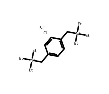 CC[N+](CC)(CC)Cc1ccc(C[N+](CC)(CC)CC)cc1.[Cl-].[Cl-]